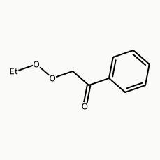 CCOOCC(=O)c1ccccc1